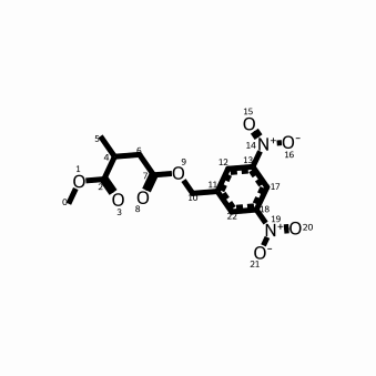 COC(=O)C(C)CC(=O)OCc1cc([N+](=O)[O-])cc([N+](=O)[O-])c1